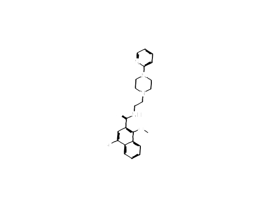 COc1c(C(=O)NCCN2CCN(c3ccccn3)CC2)cc(Br)c2ccccc12